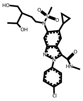 CNC(=O)c1c2cc(C3CC3)c(N(CCC(CO)C(C)O)S(C)(=O)=O)cc2nn1-c1ccc(Cl)cc1